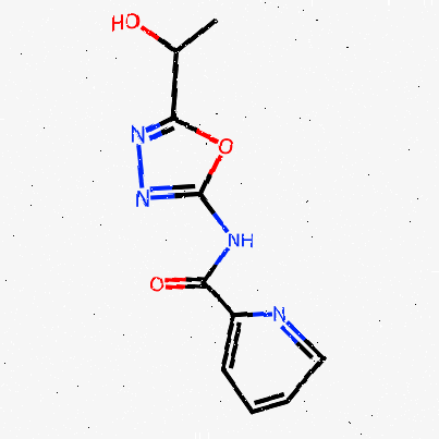 CC(O)c1nnc(NC(=O)c2ccccn2)o1